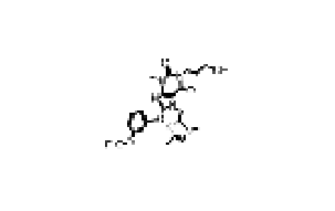 CC1=CN(C)C(Cn2c(Oc3cccc(OC(F)(F)F)c3)nc3c2c(=O)n(CCCO)c(=O)n3C)O1